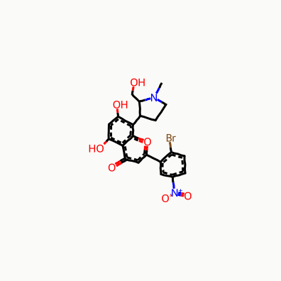 CN1CCC(c2c(O)cc(O)c3c(=O)cc(-c4cc([N+](=O)[O-])ccc4Br)oc23)C1CO